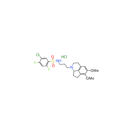 COc1cc2c3c(c1OC)CCC3N(CCCNS(=O)(=O)c1cc(Cl)c(F)cc1F)CC2.Cl